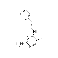 Cc1cnc(N)nc1NCCc1ccccc1